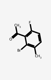 CC(=O)c1c(F)ccc(C)c1Br